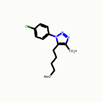 COCCCCc1c(C(=O)O)nnn1-c1ccc(Cl)cc1